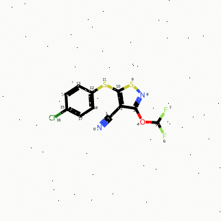 N#Cc1c(OC(F)F)nsc1Sc1ccc(Cl)cc1